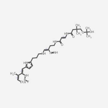 CC/C=C(C)\C(=C\c1ccc(CCCN/C=C(/CCNC(=O)/C=C/NC(=O)CC(C)(C)COC(C)(C)O)N=N)[nH]1)NBF